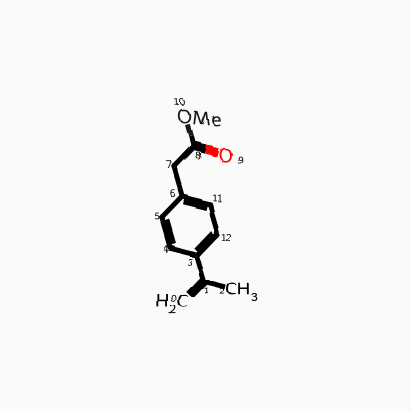 C=C(C)c1ccc(CC(=O)OC)cc1